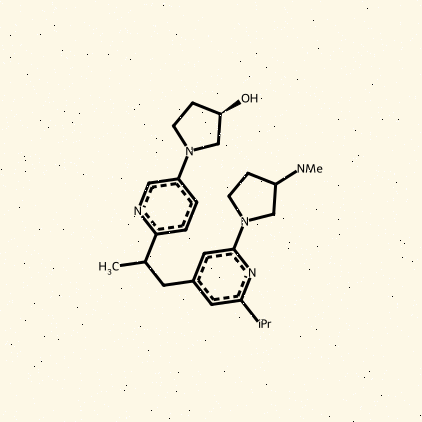 CNC1CCN(c2cc(CC(C)c3ccc(N4CC[C@@H](O)C4)cn3)cc(C(C)C)n2)C1